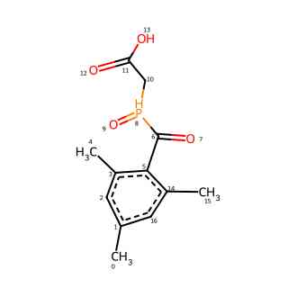 Cc1cc(C)c(C(=O)[PH](=O)CC(=O)O)c(C)c1